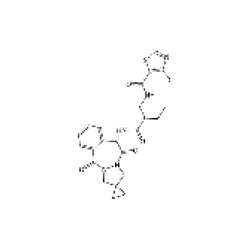 CC[C@H](CNC(=O)c1scnc1Cl)C(=O)N[C@@H]1C(=O)N2CC3(CC3)CN2C(=O)c2ccccc21